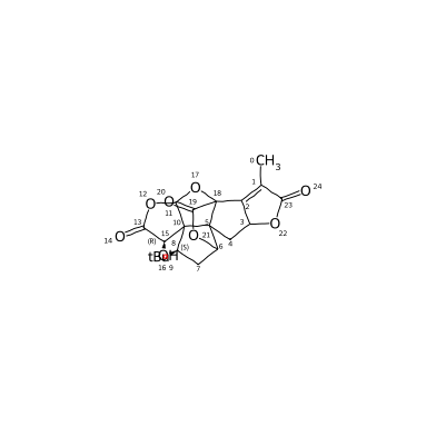 CC1=C2C(CC34C5C[C@@H](C(C)(C)C)C36C(OC(=O)[C@@H]6O)OC24C(=O)O5)OC1=O